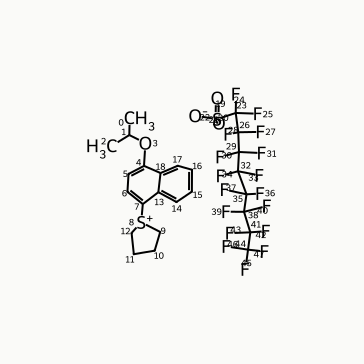 CC(C)Oc1ccc([S+]2CCCC2)c2ccccc12.O=S(=O)([O-])C(F)(F)C(F)(F)C(F)(F)C(F)(F)C(F)(F)C(F)(F)C(F)(F)C(F)(F)F